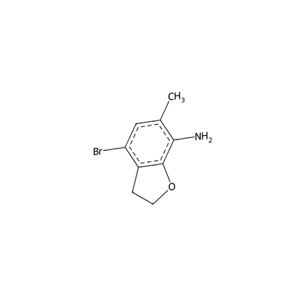 Cc1cc(Br)c2c(c1N)OCC2